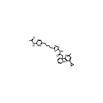 CC(=O)Nc1ccc(CCCCc2nnc(NC(=O)CC3(c4cc(C5CC5)cc(C)n4)C=CC=CN3)s2)nn1